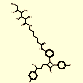 O=C(CCCCCNC(=O)C(O)C(O)C(O)C(O)CO)Nc1cccc(C2C(CCC(O)c3ccc(F)cc3)C(=O)N2c2ccc(F)cc2)c1